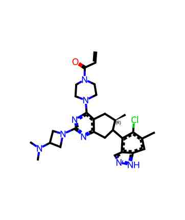 C=CC(=O)N1CCN(c2nc(N3CC(N(C)C)C3)nc3c2C[C@@H](C)C(c2c(Cl)c(C)cc4[nH]ncc24)C3)CC1